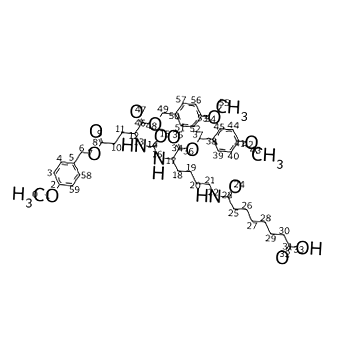 COc1ccc(COC(=O)CCC(NC(=O)NC(CCCCNC(=O)CCCCCCC(=O)O)C(=O)OCc2ccc(OC)cc2)C(=O)OCc2ccc(OC)cc2)cc1